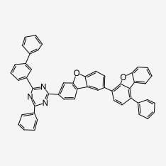 c1ccc(-c2cccc(-c3nc(-c4ccccc4)nc(-c4ccc5c(c4)oc4ccc(-c6ccc(-c7ccccc7)c7c6oc6ccccc67)cc45)n3)c2)cc1